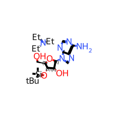 CC(C)(C)[Si](C)(C)O[C@H]1[C@@H](O)[C@H](n2cnc3c(N)ncnc32)O[C@@H]1CO.CCN(CC)CC